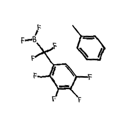 Cc1ccccc1.FB(F)C(F)(F)c1cc(F)c(F)c(F)c1F